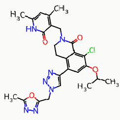 Cc1cc(C)c(CN2CCc3c(-c4cn(Cc5nnc(C)o5)nn4)cc(OC(C)C)c(Cl)c3C2=O)c(=O)[nH]1